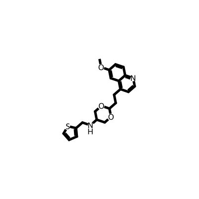 COc1ccc2nccc(CCC3OCC(NCc4cccs4)CO3)c2c1